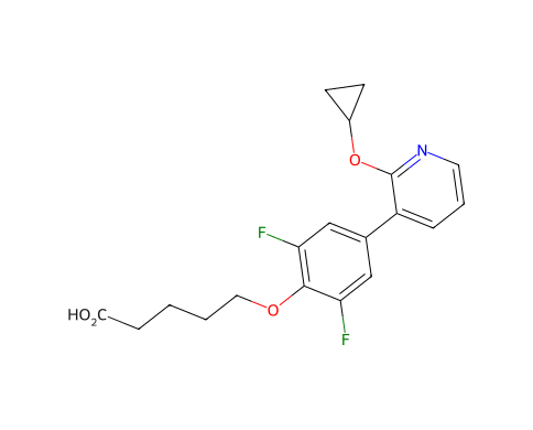 O=C(O)CCCCOc1c(F)cc(-c2cccnc2OC2CC2)cc1F